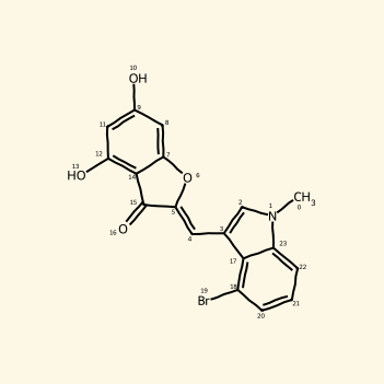 Cn1cc(/C=C2\Oc3cc(O)cc(O)c3C2=O)c2c(Br)cccc21